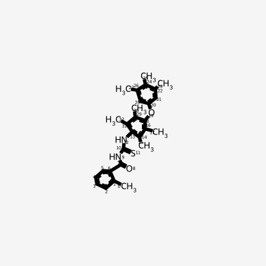 Cc1ccccc1C(=O)NC(=S)Nc1c(C)c(C)c(Oc2cc(C)c(C)c(C)c2)c(C)c1C